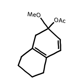 COC1(OC(C)=O)C=CC2=C(CCCC2)C1